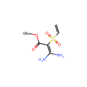 C=CS(=O)(=O)C(C(=O)OCCCC)=C(N)N